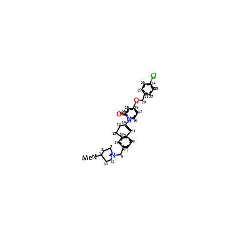 CNC1CCN(Cc2ccc3c(c2)CCC(n2ccc(OCc4ccc(Cl)cc4)cc2=O)=C3)CC1